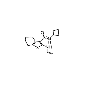 C=CNc1sc2c(c1[S+]([O-])NC1CCC1)CCCC2